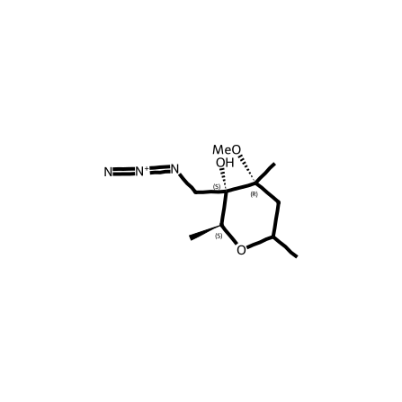 CO[C@]1(C)CC(C)O[C@@H](C)[C@@]1(O)CN=[N+]=[N-]